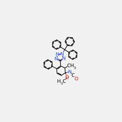 COC1(N=C=O)C=CC(c2ccccc2)=C(c2nnn(C(c3ccccc3)(c3ccccc3)c3ccccc3)n2)C1C